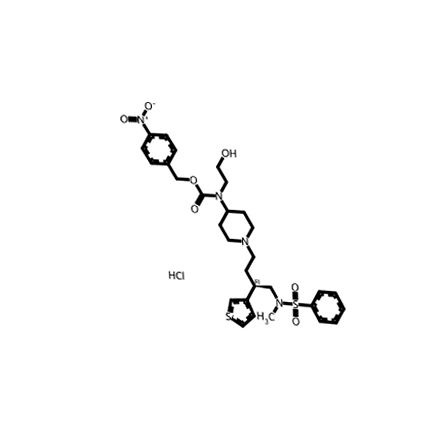 CN(C[C@H](CCN1CCC(N(CCO)C(=O)OCc2ccc([N+](=O)[O-])cc2)CC1)c1ccsc1)S(=O)(=O)c1ccccc1.Cl